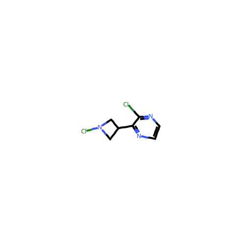 Clc1nccnc1C1CN(Cl)C1